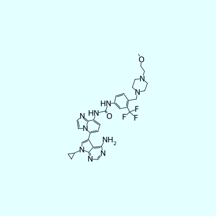 COCCN1CCN(Cc2ccc(NC(=O)Nc3ccc(-c4cn(C5CC5)c5ncnc(N)c45)n4ccnc34)cc2C(F)(F)F)CC1